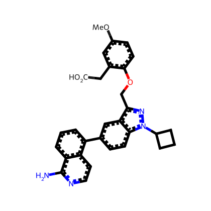 COc1ccc(OCc2nn(C3CCC3)c3ccc(-c4cccc5c(N)nccc45)cc23)c(CC(=O)O)c1